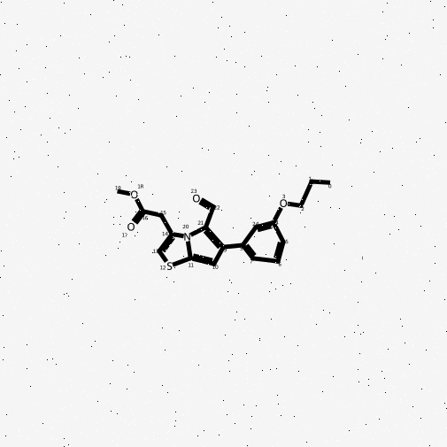 CCCOc1cccc(-c2cc3scc(CC(=O)OC)n3c2C=O)c1